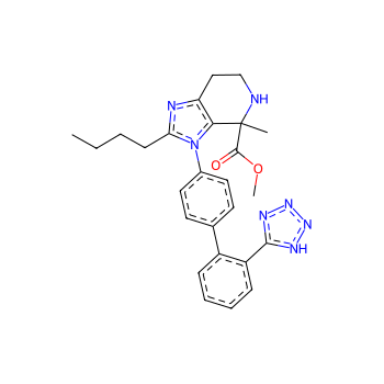 CCCCc1nc2c(n1-c1ccc(-c3ccccc3-c3nnn[nH]3)cc1)C(C)(C(=O)OC)NCC2